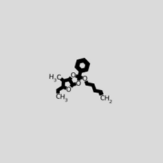 C=CCCCOC1(c2ccccc2)OC2OC(CC)C(C)C2O1